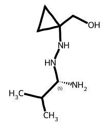 CC(C)[C@@H](N)NNC1(CO)CC1